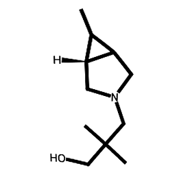 CC1C2CN(CC(C)(C)CO)C[C@H]12